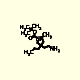 CCCC(CCC)(CCN)CNC(=O)OC(C)(C)C